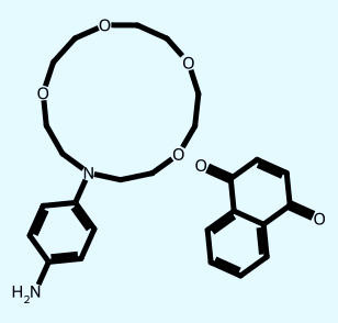 Nc1ccc(N2CCOCCOCCOCCOCC2)cc1.O=C1C=CC(=O)c2ccccc21